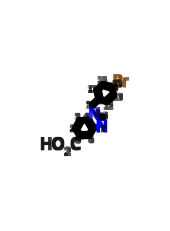 O=C(O)c1ccc2c(c1)ncn2Cc1ccc(Br)cc1